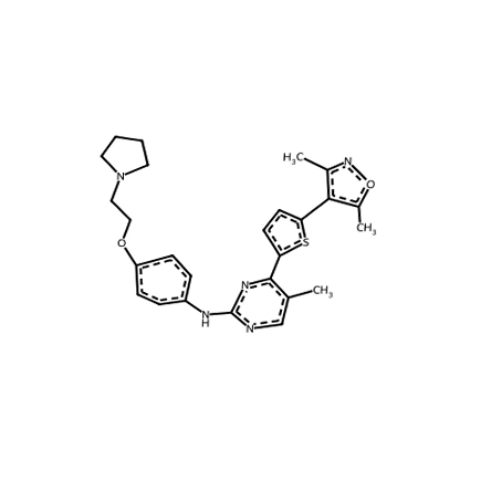 Cc1cnc(Nc2ccc(OCCN3CCCC3)cc2)nc1-c1ccc(-c2c(C)noc2C)s1